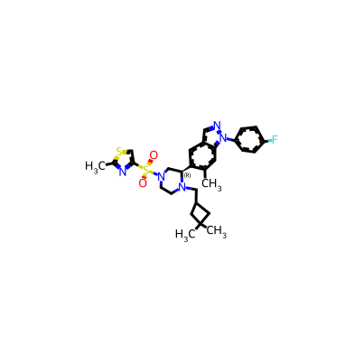 Cc1nc(S(=O)(=O)N2CCN(CC3CC(C)(C)C3)[C@H](c3cc4cnn(-c5ccc(F)cc5)c4cc3C)C2)cs1